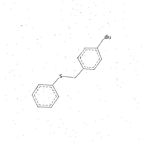 CCC(C)c1ccc(CSc2ccccc2)cc1